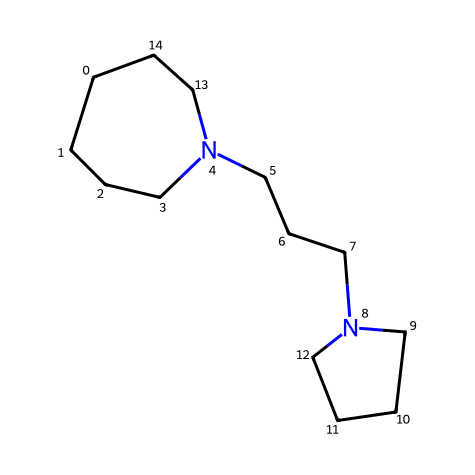 C1CCCN(CCCN2CCCC2)CC1